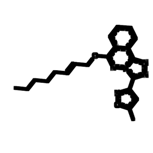 CCCCCC=CCOc1nn2c(-c3cc(C)on3)nnc2c2ccccc12